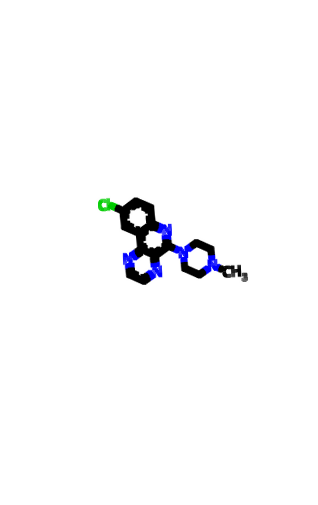 CN1CCN(c2nc3ccc(Cl)cc3c3nccnc23)CC1